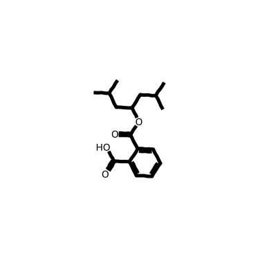 CC(C)CC(CC(C)C)OC(=O)c1ccccc1C(=O)O